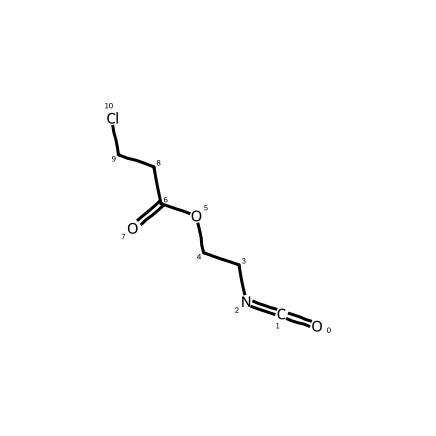 O=C=NCCOC(=O)CCCl